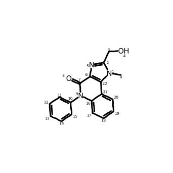 Cn1c(CO)nc2c(=O)n(-c3ccccc3)c3ccccc3c21